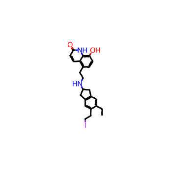 CCc1cc2c(cc1CCI)CC(NCCc1ccc(O)c3[nH]c(=O)ccc13)C2